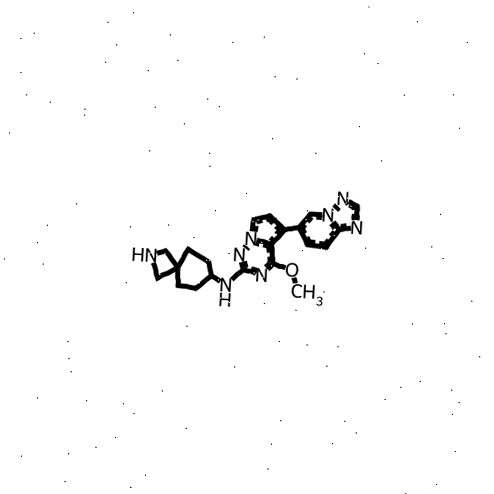 COc1nc(NC2CCC3(CC2)CNC3)nn2ccc(-c3ccc4ncnn4c3)c12